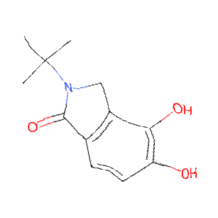 CC(C)(C)N1Cc2c(ccc(O)c2O)C1=O